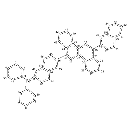 c1ccc(N(c2ccccc2)c2ccc3cc(-c4cc5c6ccccc6c(-c6ccc7ccccc7c6)cc5c5ccccc45)ccc3c2)cc1